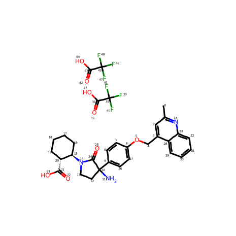 Cc1cc(COc2ccc(C3(N)CCN([C@@H]4CCCC[C@H]4C(=O)O)C3=O)cc2)c2ccccc2n1.O=C(O)C(F)(F)F.O=C(O)C(F)(F)F